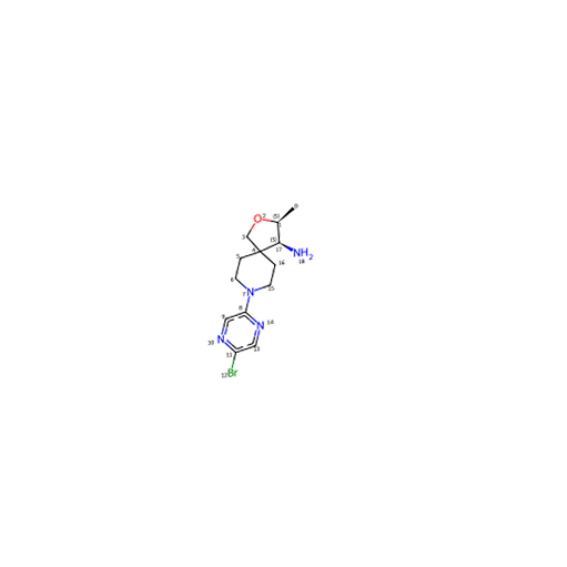 C[C@@H]1OCC2(CCN(c3cnc(Br)cn3)CC2)[C@@H]1N